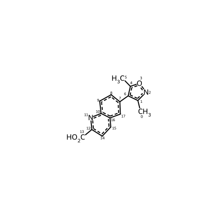 Cc1noc(C)c1-c1ccc2nc(C(=O)O)ccc2c1